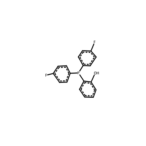 Oc1ccccc1P(c1ccc(F)cc1)c1ccc(F)cc1